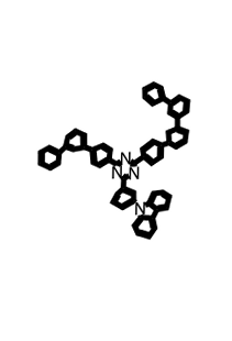 C1=CC(c2ccc(-c3nc(-c4ccc(-c5cccc(-c6ccccc6)c5)cc4)nc(-c4cccc(-n5c6ccccc6c6ccccc65)c4)n3)cc2)CC(c2cccc(-c3ccccc3)c2)=C1